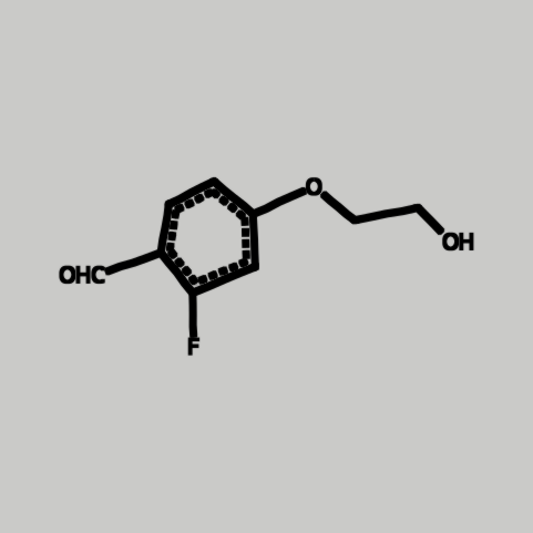 O=Cc1ccc(OCCO)cc1F